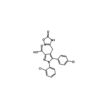 O=C(O)c1nn(-c2ccccc2Cl)c(-c2ccc(Cl)cc2)c1Cc1noc(=O)[nH]1